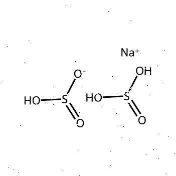 O=S(O)O.O=S([O-])O.[Na+]